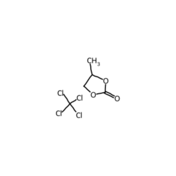 CC1COC(=O)O1.ClC(Cl)(Cl)Cl